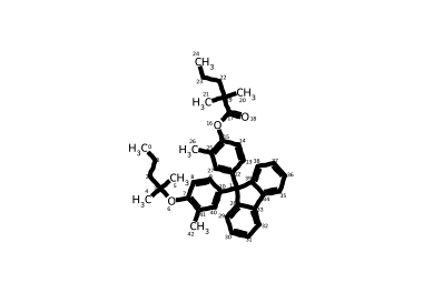 CCCC(C)(C)Oc1ccc(C2(c3ccc(OC(=O)C(C)(C)CCC)c(C)c3)c3ccccc3-c3ccccc32)cc1C